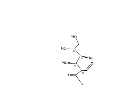 CC(=O)[C@H](C=O)[C@@H](O)[C@H](O)[C@H](O)CO